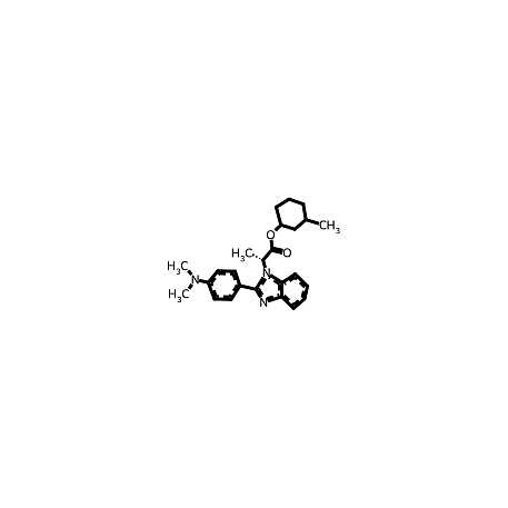 CC1CCCC(OC(=O)[C@@H](C)n2c(-c3ccc(N(C)C)cc3)nc3ccccc32)C1